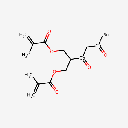 C=C(C)C(=O)OC[CH](COC(=O)C(=C)C)[Co](=[O])[CH2][Co](=[O])[CH](C)CC